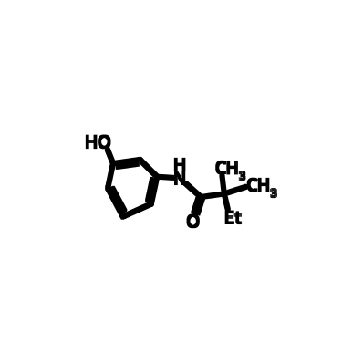 CCC(C)(C)C(=O)Nc1cccc(O)c1